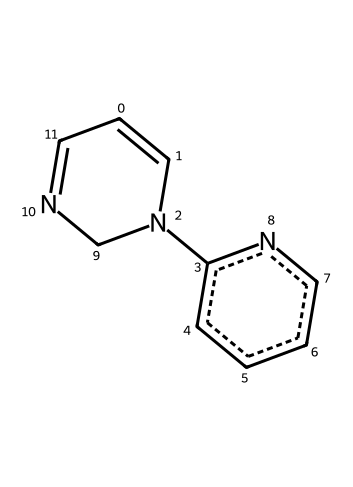 C1=CN(c2ccccn2)CN=C1